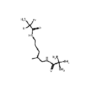 BC(B)(B)C(=O)NCC(C)CCCNC(=O)C(B)(Br)Br